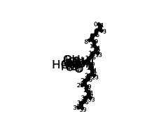 CC=C(C)CCC=C(C)CCC=C(C)CCC=C(C)CCC=C(C)CCC=C(C)CCC=C(C)CCC=C(C)C.O=P(O)(O)O.O=P(O)(O)O